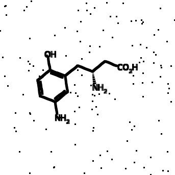 Nc1ccc(O)c(C[C@@H](N)CC(=O)O)c1